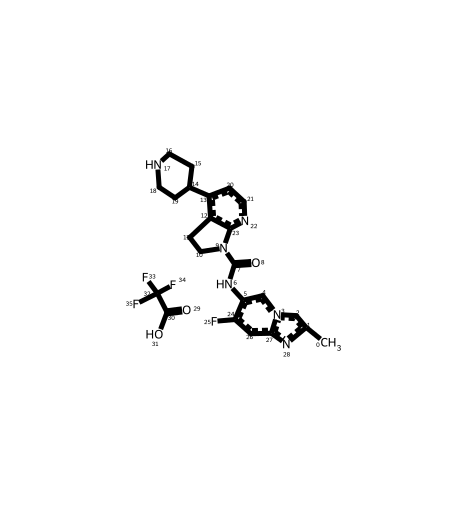 Cc1cn2cc(NC(=O)N3CCc4c(C5CCNCC5)ccnc43)c(F)cc2n1.O=C(O)C(F)(F)F